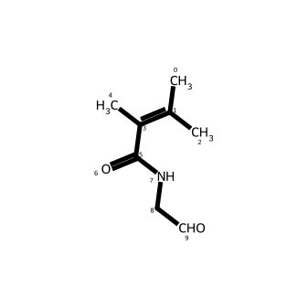 CC(C)=C(C)C(=O)NCC=O